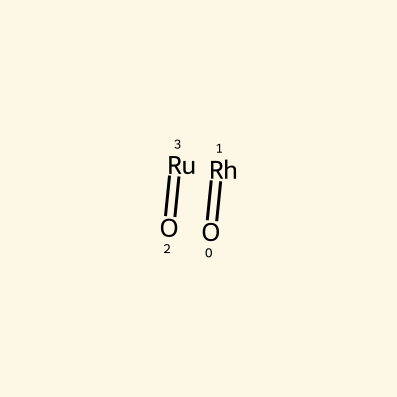 [O]=[Rh].[O]=[Ru]